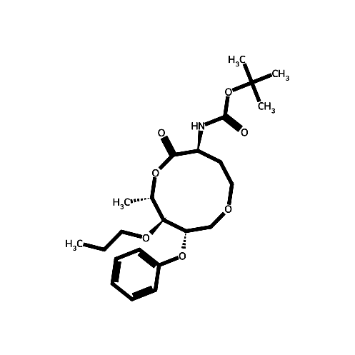 CCCO[C@H]1[C@H](C)OC(=O)[C@@H](NC(=O)OC(C)(C)C)CCOC[C@@H]1Oc1ccccc1